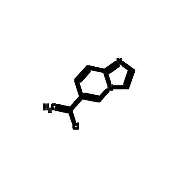 C=C(Cl)c1ccc2nccn2c1